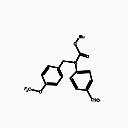 CC(C)(C)OC(=O)N(Cc1ccc(OC(F)(F)F)cc1)c1ccc([C]=O)cc1